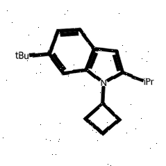 CC(C)c1cc2ccc(C(C)(C)C)cc2n1C1CCC1